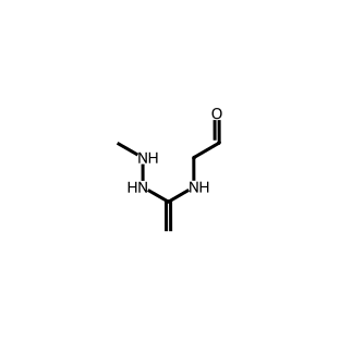 C=C(NCC=O)NNC